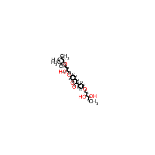 CCC(O)C(O)CCOc1ccc(C2=CC3C=CC(OCC(O)CCOC(CC(C)C)C(C)C)=CC3OC2=O)cc1